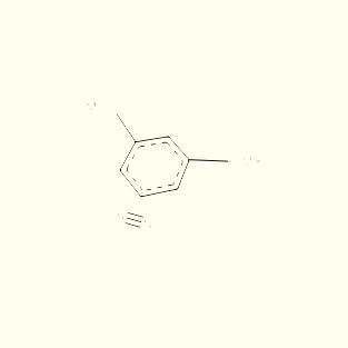 COc1cccc(OC)c1.Cl.N#N